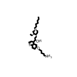 CCCCCCCN1CC[C@@H](CCC(O)c2ccnc3ccc(OCCCCCN)cc23)[C@@H](CC)C1